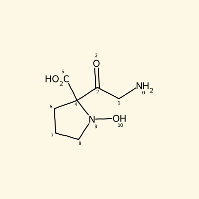 NCC(=O)C1(C(=O)O)CCCN1O